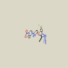 Cc1nnn(-c2ccc(C(F)F)cc2)c1COc1ccc(N2CCN3C(=O)COC[C@@H]3C2)nn1